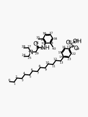 CCCCCCCCCCCCCCc1ccc(S(=O)(=O)O)cc1.CCN(CC)CC(=O)Nc1c(C)cccc1C